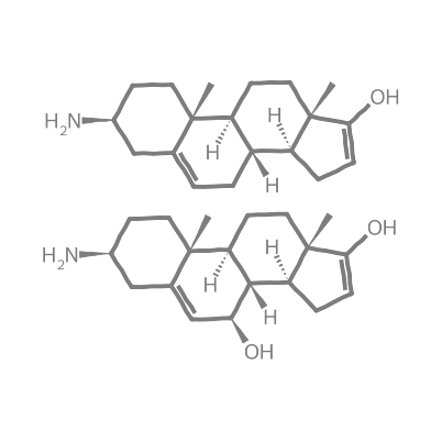 C[C@]12CC[C@H](N)CC1=CC[C@@H]1[C@@H]2CC[C@]2(C)C(O)=CC[C@@H]12.C[C@]12CC[C@H](N)CC1=C[C@H](O)[C@@H]1[C@@H]2CC[C@]2(C)C(O)=CC[C@@H]12